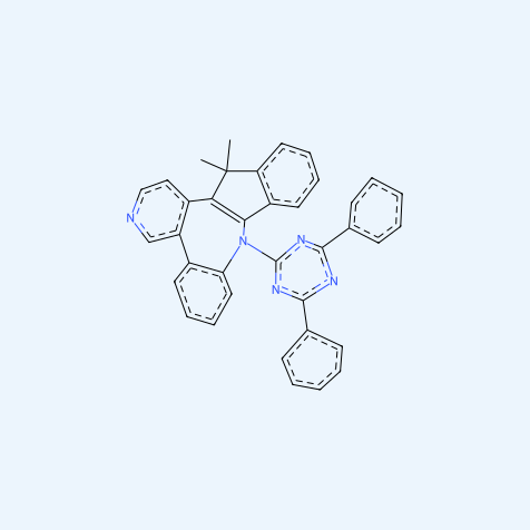 CC1(C)C2=C(c3ccccc31)N(c1nc(-c3ccccc3)nc(-c3ccccc3)n1)c1ccccc1-c1cnccc12